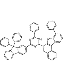 c1ccc(C2=NC(c3ccc4c(c3)C(c3ccccc3)(c3ccccc3)c3ccccc3-4)=NC(c3cc4ccccc4c4c3sc3c(-c5ccccc5)cccc34)N2)cc1